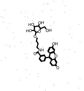 O=C(NCCCCOC1OC(CO)C(O)C(O)C1O)c1cccc(-c2c3ccc(=O)cc-3oc3cc(O)ccc23)c1